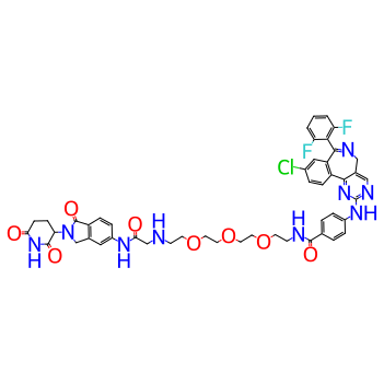 O=C1CCC(N2Cc3cc(NC(=O)CNCCOCCOCCOCCNC(=O)c4ccc(Nc5ncc6c(n5)-c5ccc(Cl)cc5C(c5c(F)cccc5F)=NC6)cc4)ccc3C2=O)C(=O)N1